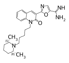 C[C@@H]1CCC[C@H](C)N1CCCCCn1c(=O)c(-c2ncc(C(=N)N)o2)cc2ccccc21